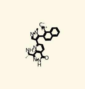 [C-]#[N+]c1c(-c2c(-c3ccc4c(=O)[nH]nc([C@H](C)N)c4n3)cnn2C)ccc2ccccc12